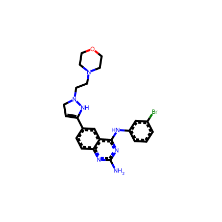 Nc1nc(Nc2cccc(Br)c2)c2cc(C3=CCN(CCN4CCOCC4)N3)ccc2n1